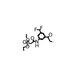 [CH2]CC(=O)c1cc(NC(=O)CP(=O)(OCC)OCC)cc(C(F)F)c1